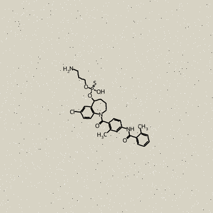 Cc1ccccc1C(=O)Nc1ccc(C(=O)N2CCCC(OP(O)(=S)OCCCN)c3cc(Cl)ccc32)c(C)c1